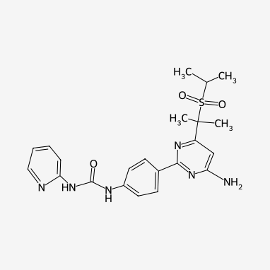 CC(C)S(=O)(=O)C(C)(C)c1cc(N)nc(-c2ccc(NC(=O)Nc3ccccn3)cc2)n1